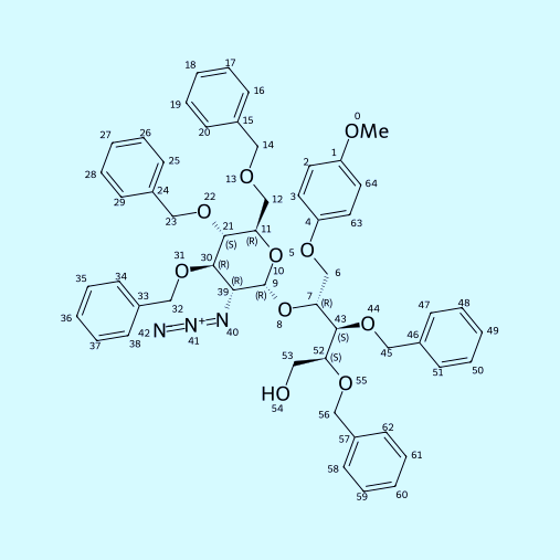 COc1ccc(OC[C@@H](O[C@H]2O[C@H](COCc3ccccc3)[C@@H](OCc3ccccc3)[C@H](OCc3ccccc3)[C@H]2N=[N+]=[N-])[C@@H](OCc2ccccc2)[C@H](CO)OCc2ccccc2)cc1